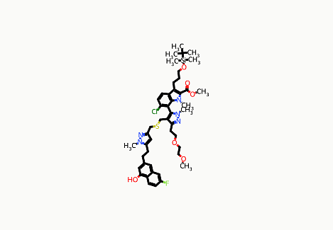 COCCOCCc1nn(C)c(-c2c(Cl)ccc3c(CCCO[Si](C)(C)C(C)(C)C)c(C(=O)OC)n(C)c23)c1CSCc1cc(CCc2cc(O)c3ccc(F)cc3c2)n(C)n1